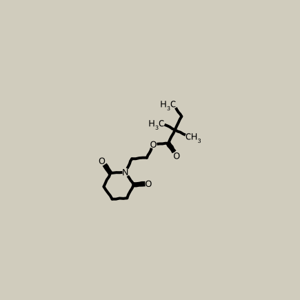 CCC(C)(C)C(=O)OCCN1C(=O)CCCC1=O